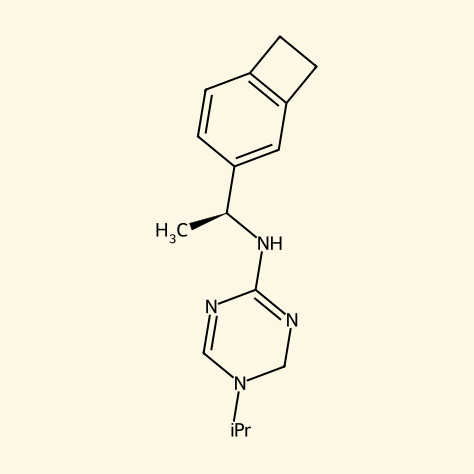 CC(C)N1C=NC(N[C@@H](C)c2ccc3c(c2)CC3)=NC1